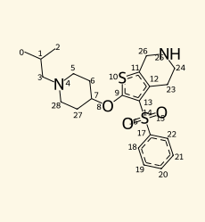 CC(C)CN1CCC(Oc2sc3c(c2S(=O)(=O)c2ccccc2)CCNC3)CC1